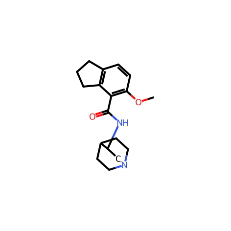 COc1ccc2c(c1C(=O)NC1CN3CCC1CC3)CCC2